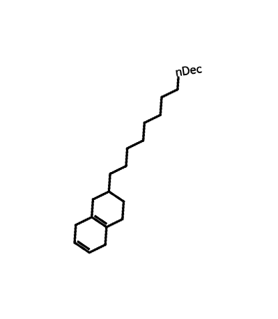 CCCCCCCCCCCCCCCCCCC1CCC2=C(CC=CC2)C1